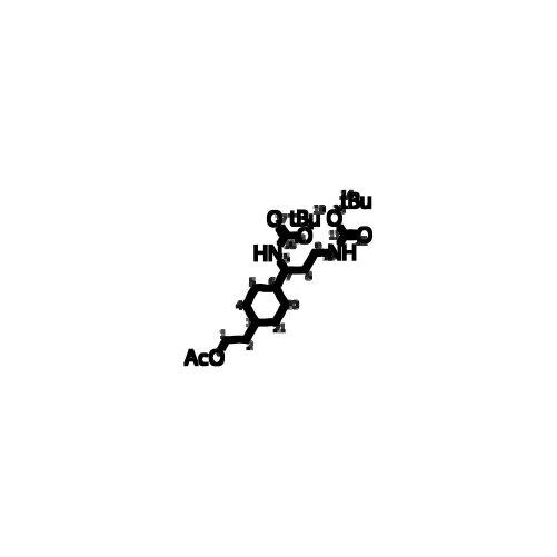 CC(=O)OCCC1CCC(C(CCNC(=O)OC(C)(C)C)NC(=O)OC(C)(C)C)CC1